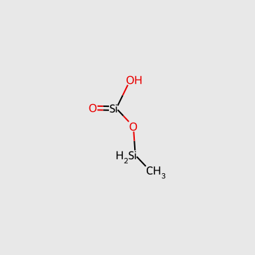 C[SiH2]O[Si](=O)O